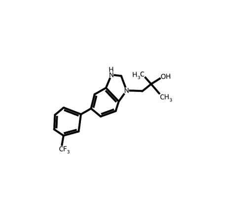 CC(C)(O)CN1CNc2cc(-c3cccc(C(F)(F)F)c3)ccc21